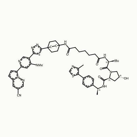 CNc1cc(-c2ccc3cc(C#N)cnn23)ncc1-c1nnc(C23CCC(NC(=O)CCCCCC(=O)N[C@H](C(=O)N4C[C@H](O)C[C@H]4C(=O)N[C@@H](C)c4ccc(-c5scnc5C)cc4)C(C)(C)C)(CC2)CC3)s1